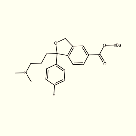 CCCCOC(=O)c1ccc2c(c1)COC2(CCCN(C)C)c1ccc(F)cc1